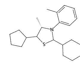 Cc1ccccc1N1C(C2CCCCC2)SC(C2CCCC2)[C@@H]1C